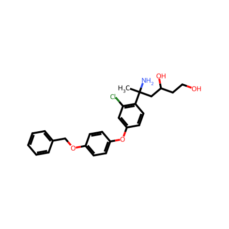 CC(N)(CC(O)CCO)c1ccc(Oc2ccc(OCc3ccccc3)cc2)cc1Cl